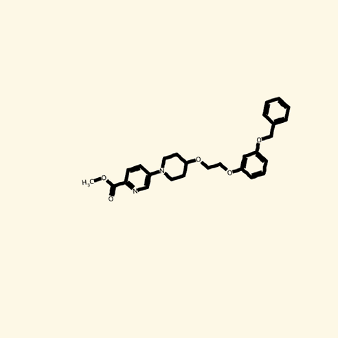 COC(=O)c1ccc(N2CCC(OCCOc3cccc(OCc4ccccc4)c3)CC2)cn1